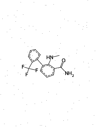 CNc1c(C(N)=O)cccc1-c1ccccc1C(F)(F)F